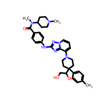 Cc1ccc(C2(C(O)CO)CCN(c3cccn4nc(Nc5ccc(C(=O)N(C)C6CCN(C)CC6)cc5)nc34)CC2)cc1